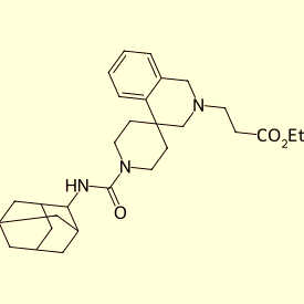 CCOC(=O)CCN1Cc2ccccc2C2(CCN(C(=O)NC3C4CC5CC(C4)CC3C5)CC2)C1